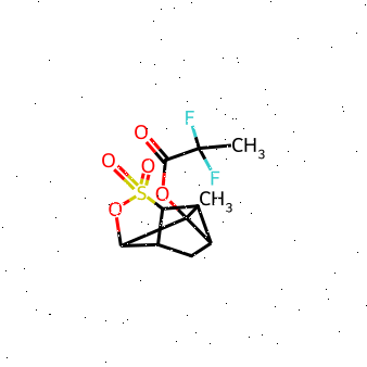 CC(F)(F)C(=O)OC1(C)C2CC3C1OS(=O)(=O)C3C2